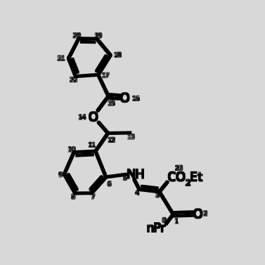 CCCC(=O)/C(=C/Nc1ccccc1C(C)OC(=O)c1ccccc1)C(=O)OCC